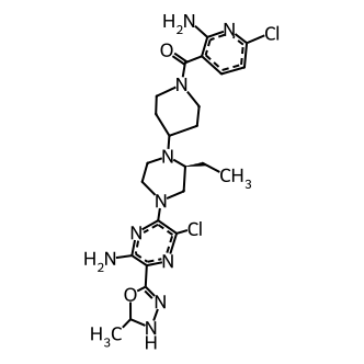 CC[C@H]1CN(c2nc(N)c(C3=NNC(C)O3)nc2Cl)CCN1C1CCN(C(=O)c2ccc(Cl)nc2N)CC1